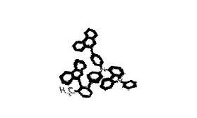 CC1C=CC=C(c2ccc(N(c3ccc(-c4cc5ccccc5c5ccccc45)cc3)c3cccc4c3c3ccccc3n4-c3ccccc3)cc2)C1c1cc2ccccc2c2ccccc12